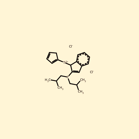 CC(C)CP(CC(C)C)C1=Cc2ccccc2[CH]1[Ti+2][C]1=CC=CC1.[Cl-].[Cl-]